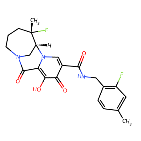 Cc1ccc(CNC(=O)c2cn3c(c(O)c2=O)C(=O)N2CCC[C@](C)(F)[C@H]3C2)c(F)c1